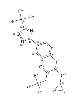 O=C(CC(F)(F)F)N(Cc1ccc(-c2noc(C(F)(F)F)n2)cc1)CC1CC1